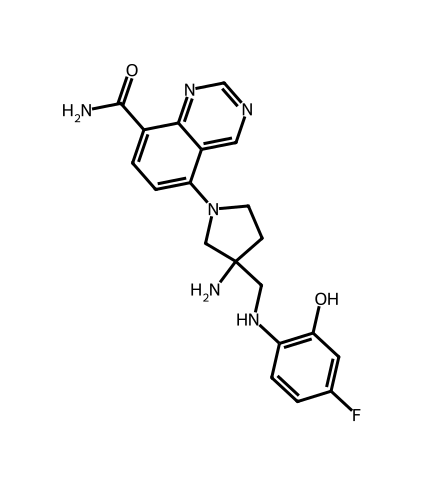 NC(=O)c1ccc(N2CCC(N)(CNc3ccc(F)cc3O)C2)c2cncnc12